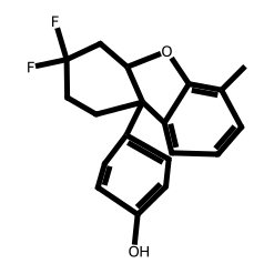 Cc1cccc2c1OC1CC(F)(F)CCC21c1ccc(O)cc1